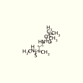 CNC(=S)[C@@H](C)CCNC(=O)OC(C)(C)C